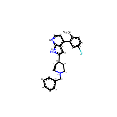 COc1ccc(F)cc1-c1ccnc2[nH]c(C3C=CN(Cc4ccccc4)CC3)cc12